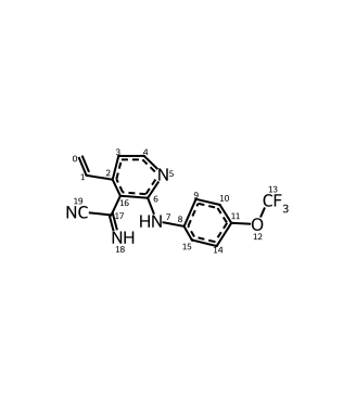 C=Cc1ccnc(Nc2ccc(OC(F)(F)F)cc2)c1C(=N)C#N